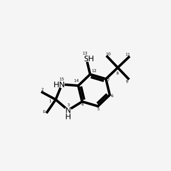 CC1(C)Nc2ccc(C(C)(C)C)c(S)c2N1